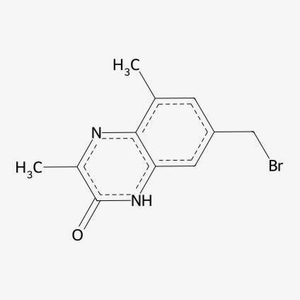 Cc1nc2c(C)cc(CBr)cc2[nH]c1=O